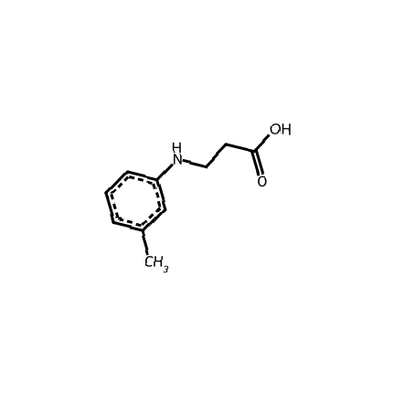 Cc1cccc(NCCC(=O)O)c1